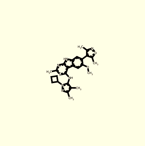 COc1cc2c(cc1-c1c(C)noc1C)[nH]c1nc(C)nc(Nc3c(C)c(C)nn3C3CCC3)c12